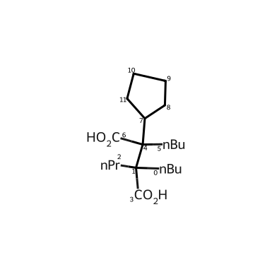 CCCCC(CCC)(C(=O)O)C(CCCC)(C(=O)O)C1CCCC1